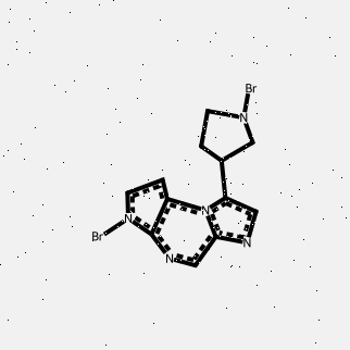 BrN1CCC(c2cnc3cnc4c(ccn4Br)n23)C1